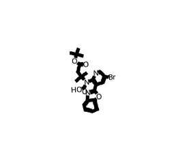 CC(C)(C)OC(=O)CC(C)(C)N(C(=O)O)c1ncc(Br)cc1-c1nc2ccccc2o1